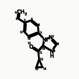 C=Cc1ccc(N2N=CNC2C(=O)C2CC2)cc1